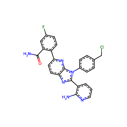 NC(=O)c1cc(F)ccc1-c1ccc2nc(-c3cccnc3N)n(-c3ccc(CCl)cc3)c2n1